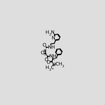 CN(C)C(=O)[C@H](Cc1ccccc1)NC(=O)[C@H]1O[C@@H]1C(=O)NCCc1cccc(N)n1